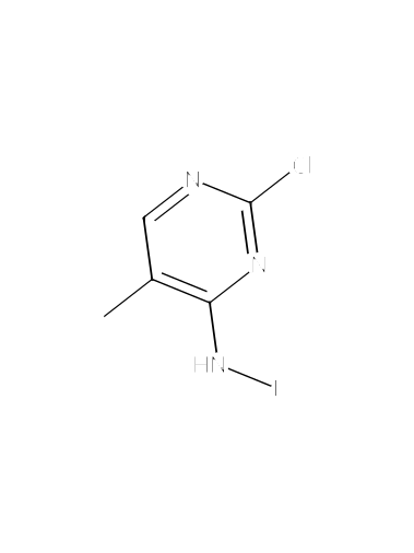 Cc1cnc(Cl)nc1NI